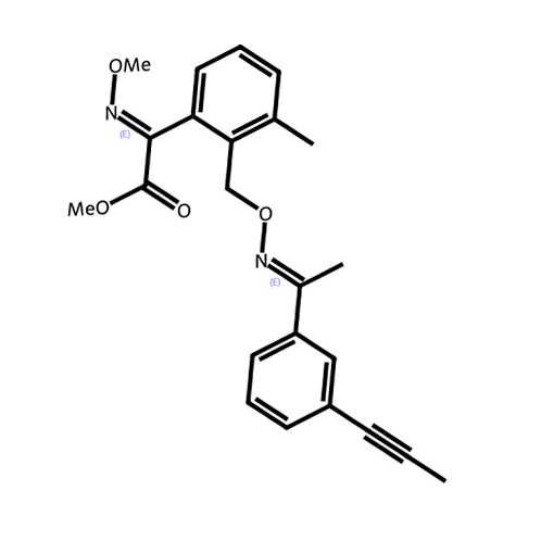 CC#Cc1cccc(/C(C)=N/OCc2c(C)cccc2/C(=N\OC)C(=O)OC)c1